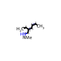 C=C/C(=C\C=C/C)CNNC